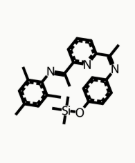 C/C(=N/c1ccc(O[Si](C)(C)C)cc1)c1cccc(/C(C)=N/c2c(C)cc(C)cc2C)n1